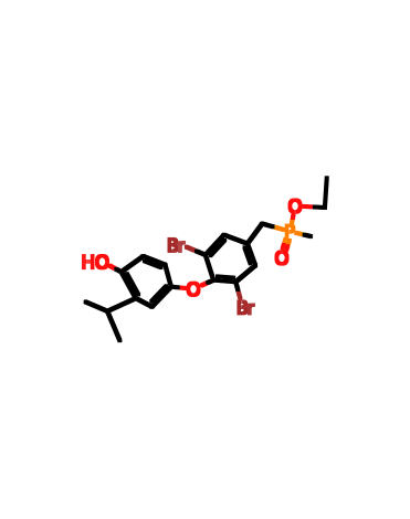 CCOP(C)(=O)Cc1cc(Br)c(Oc2ccc(O)c(C(C)C)c2)c(Br)c1